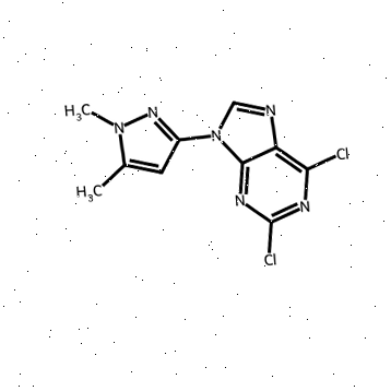 Cc1cc(-n2cnc3c(Cl)nc(Cl)nc32)nn1C